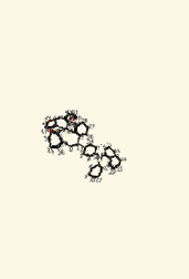 C1=C(c2ccc(N(c3ccccc3)c3cccc4ccccc34)cc2)c2ccccc2C2(c3ccccc31)c1ccccc1-c1ccccc12